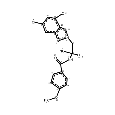 CC(C#N)(Cn1nc2cc(Cl)cc(Cl)c2n1)NC(=O)c1ccc(OC(F)(F)F)cc1